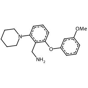 COc1cccc(Oc2cccc(N3CCCCC3)c2CN)c1